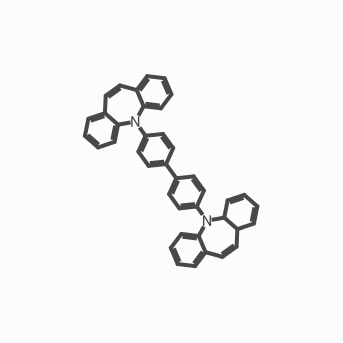 C1=CC2C=Cc3ccccc3N(c3ccc(-c4ccc(N5c6ccccc6C=Cc6ccccc65)cc4)cc3)C2C=C1